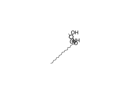 CCCCCCCCCCCCCCCCS(=O)(=O)Nc1ccc(C)c(O)c1